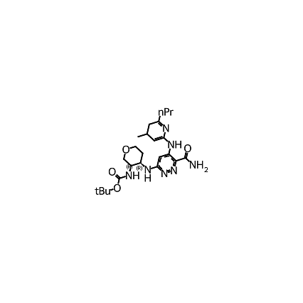 CCCC1=NC(Nc2cc(N[C@@H]3CCOC[C@@H]3NC(=O)OC(C)(C)C)nnc2C(N)=O)=CC(C)C1